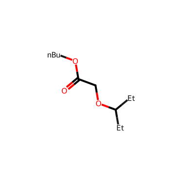 CCCCOC(=O)COC(CC)CC